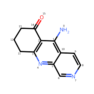 Nc1c2c(nc3cnccc13)CCCC2=O